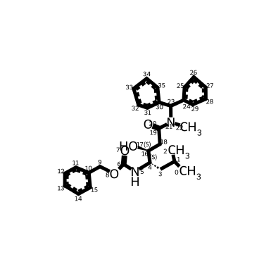 CC(C)C[C@H](NC(=O)OCc1ccccc1)[C@@H](O)CC(=O)N(C)C(c1ccccc1)c1ccccc1